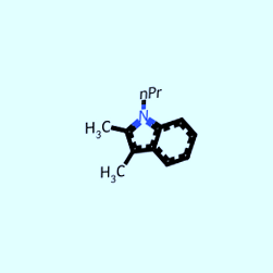 CCCn1c(C)c(C)c2ccccc21